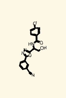 N#Cc1cccc(-c2nnc(C(CO)NC(=O)c3ccc(Cl)cc3)o2)c1